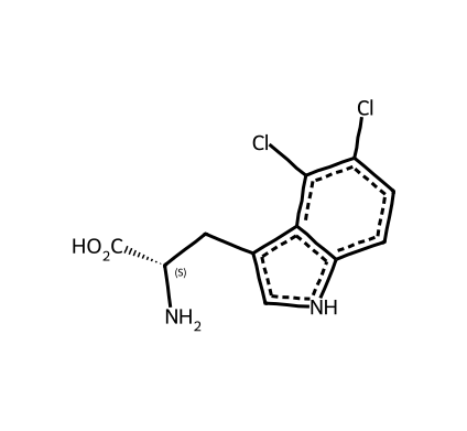 N[C@@H](Cc1c[nH]c2ccc(Cl)c(Cl)c12)C(=O)O